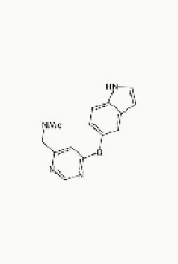 CNCc1cc(Oc2ccc3[nH]ccc3c2)ncn1